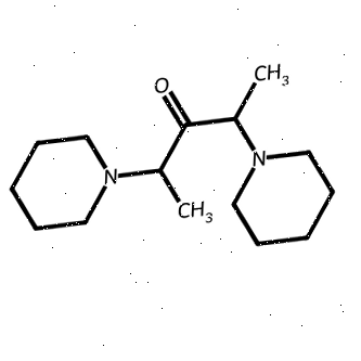 CC(C(=O)C(C)N1CCCCC1)N1CCCCC1